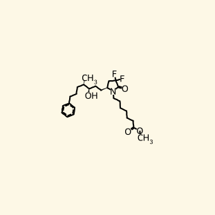 COC(=O)CCCCCCN1C(=O)C(F)(F)C[C@@H]1CC[C@@H](O)[C@@H](C)CCCc1ccccc1